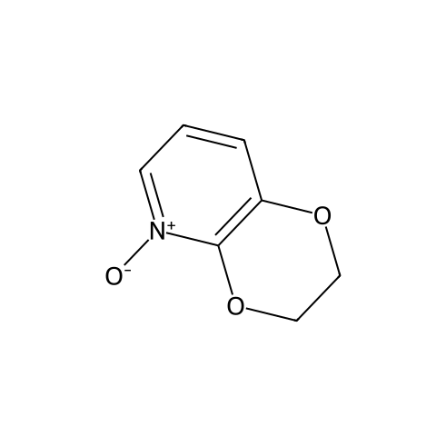 [O-][n+]1cccc2c1OCCO2